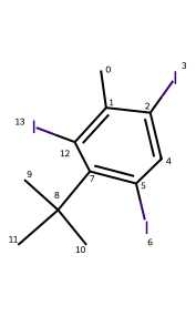 Cc1c(I)cc(I)c(C(C)(C)C)c1I